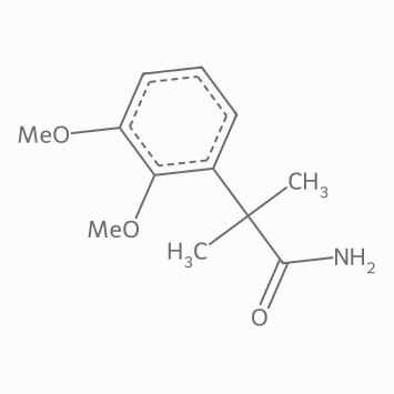 COc1cccc(C(C)(C)C(N)=O)c1OC